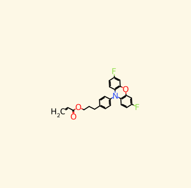 C=CC(=O)OCCCc1ccc(N2c3ccc(F)cc3Oc3cc(F)ccc32)cc1